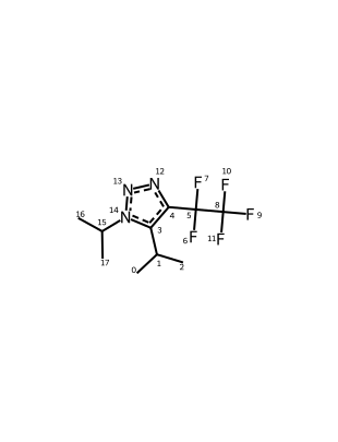 CC(C)c1c(C(F)(F)C(F)(F)F)nnn1C(C)C